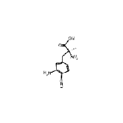 C[C@](N)(Cc1ccc(B=O)c(N)c1)C(=O)O